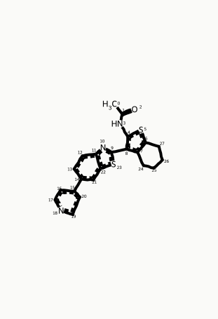 CC(=O)Nc1sc2c(c1-c1nc3ccc(-c4ccncc4)cc3s1)CCCC2